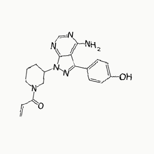 C=CC(=O)N1CCCC(n2nc(-c3ccc(O)cc3)c3c(N)ncnc32)C1